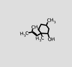 CC(C)=CC1(C)CCC(C)CC1O